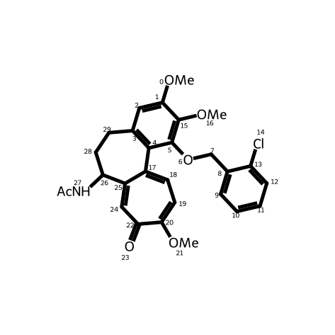 COc1cc2c(c(OCc3ccccc3Cl)c1OC)-c1ccc(OC)c(=O)cc1C(NC(C)=O)CC2